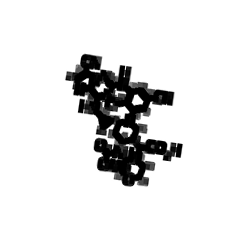 COC(=O)N[C@@H]1CCN(c2cc(C#N)cc(Nc3nc(NC4CC4)c4ncc(C#N)n4n3)c2Cl)C[C@H]1C(C(=O)O)N1CCOCC1